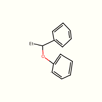 CCC(Oc1[c]cccc1)c1ccccc1